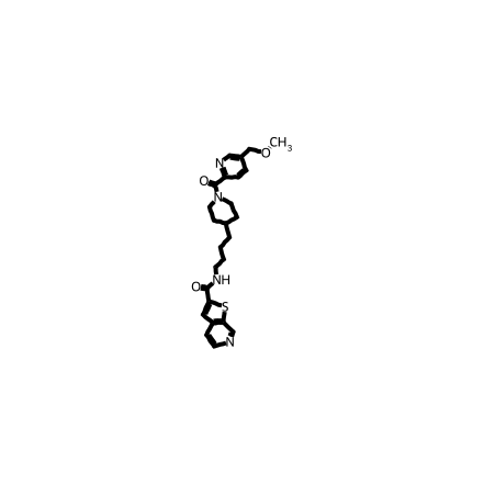 COCc1ccc(C(=O)N2CCC(CCCCNC(=O)c3cc4ccncc4s3)CC2)nc1